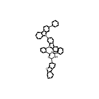 c1ccc(C2=NC(c3ccccc3-n3c4ccccc4c4ccc(-n5c6ccccc6c6ccc(-c7ccccc7)cc65)cc43)=NC(c3ccc4c(c3)oc3ccccc34)N2)cc1